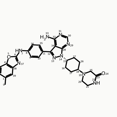 Cc1ccc2oc(Nc3ccc(-c4nn([C@H]5CC[C@H](N6CCNC(=O)C6)CC5)c5ncnc(N)c45)cc3)nc2c1